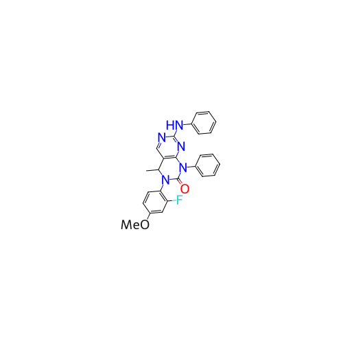 COc1ccc(N2C(=O)N(c3ccccc3)c3nc(Nc4ccccc4)ncc3C2C)c(F)c1